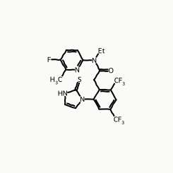 CCN(C(=O)Cc1c(-n2cc[nH]c2=S)cc(C(F)(F)F)cc1C(F)(F)F)c1ccc(F)c(C)n1